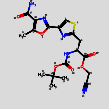 Cc1oc(-c2csc(C[C@H](NC(=O)OC(C)(C)C)C(=O)OCC#N)n2)nc1C(N)=O